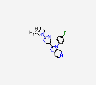 CCN(CC)c1ncc(-c2nc3ccncc3n2-c2ccc(F)cc2)cn1